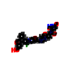 O=C1CC[C@@H](N2Cc3c(ccc4c3OC[C@@H]3CN(C[C@@H]5COC6(CCN(c7ccc([C@H]8c9ccc(O)cc9OC[C@H]8c8ccccc8)cc7F)CC6)C5)CCN43)C2=O)C(=O)N1